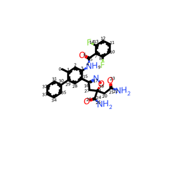 Cc1cc(NC(=O)c2c(F)cccc2F)c(C2=NOC(CC(N)=O)(C(N)=O)C2)cc1-c1ccccc1